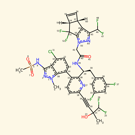 Cn1nc(NS(C)(=O)=O)c2c(Cl)ccc(-c3ccc(C#CC(C)(O)C(F)F)nc3[C@H](Cc3cc(F)cc(F)c3)NC(=O)Cn3nc(C(F)F)c4c3C(F)(F)[C@@H]3C=C[C@H]43)c21